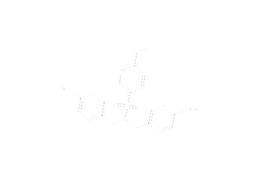 COc1ccc(CN(Cc2ccc(OC)cc2)S(=O)(=O)c2ccc(CBr)nc2)cc1